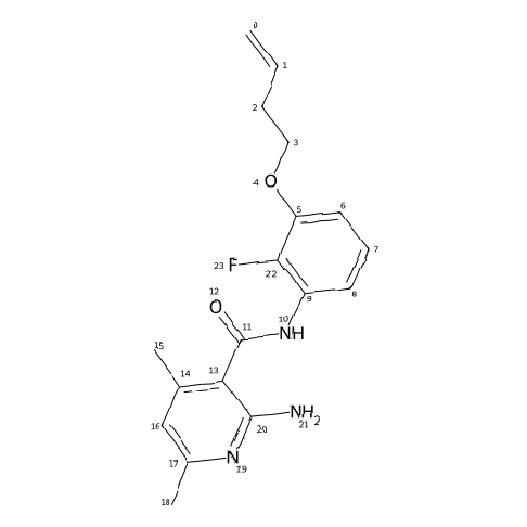 C=CCCOc1cccc(NC(=O)c2c(C)cc(C)nc2N)c1F